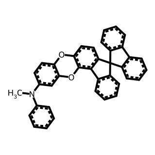 CN(c1ccccc1)c1ccc2c(c1)Oc1c(ccc3c1-c1ccccc1C31c3ccccc3-c3ccccc31)O2